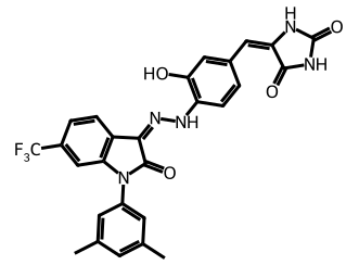 Cc1cc(C)cc(N2C(=O)/C(=N\Nc3ccc(C=C4NC(=O)NC4=O)cc3O)c3ccc(C(F)(F)F)cc32)c1